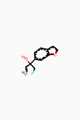 C=CC(O)(CF)c1ccc2ccoc2c1